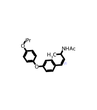 CC(=O)NC(C)/C=C\c1ccc(Oc2ccc(OC(C)C)cc2)cc1